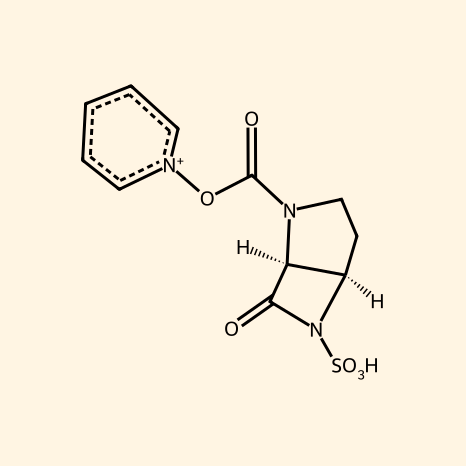 O=C(O[n+]1ccccc1)N1CC[C@@H]2[C@H]1C(=O)N2S(=O)(=O)O